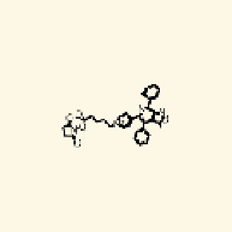 O=C(CCCC[n+]1ccc(-c2nc(-c3ccccc3)c3nonc3c2-c2ccccc2)cc1)ON1C(=O)CCC1=O